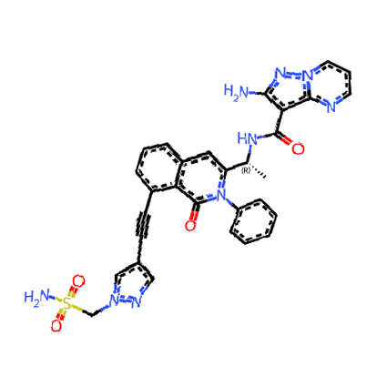 C[C@@H](NC(=O)c1c(N)nn2cccnc12)c1cc2cccc(C#Cc3cnn(CS(N)(=O)=O)c3)c2c(=O)n1-c1ccccc1